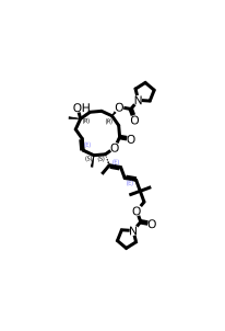 C/C(=C\C=C\C(C)(C)COC(=O)N1CCCC1)[C@H]1OC(=O)C[C@H](OC(=O)N2CCCC2)CC[C@@](C)(O)C/C=C/[C@@H]1C